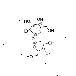 OCC1O[C@H](O[C@H]2OC(CO)[C@@H](O)[C@@H](O)C2O)CC(O)[C@@H]1O